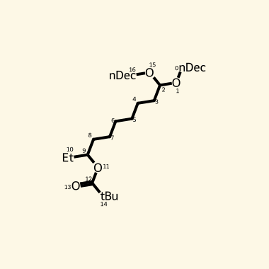 CCCCCCCCCCOC(CCCCCCC(CC)OC(=O)C(C)(C)C)OCCCCCCCCCC